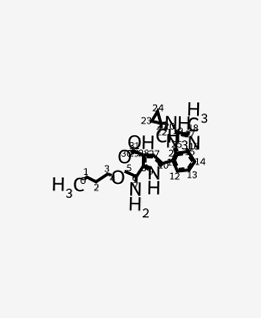 CCCCOCC(N)c1[nH]c(-c2cccc3nc(C)c(NC4(C)CC4)nc23)cc1C(=O)O